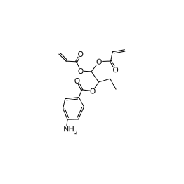 C=CC(=O)OC(OC(=O)C=C)C(CC)OC(=O)c1ccc(N)cc1